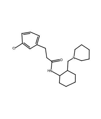 O=C(CCc1cccc(Cl)c1)NC1CCCCC1CN1CCCCC1